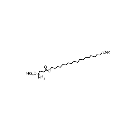 CCCCCCCCCCCCCCCCCCCCCCCCCCCCOC(=O)CC[C@H](N)C(=O)O